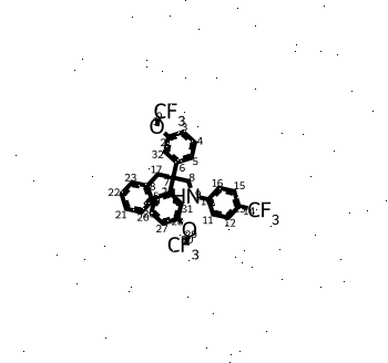 FC(F)(F)Oc1cccc(C(CNc2ccc(C(F)(F)F)cc2)(Cc2ccccc2)c2cccc(OC(F)(F)F)c2)c1